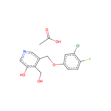 CC(=O)O.OCc1c(O)cncc1COc1ccc(F)c(Cl)c1